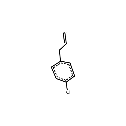 [CH]=CCc1ccc(Cl)cc1